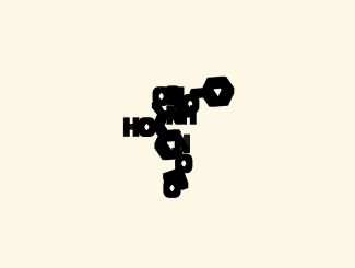 O=C(N[C@H](CO)C(O)c1ccc(OC2COC2)nc1)OCc1ccccc1